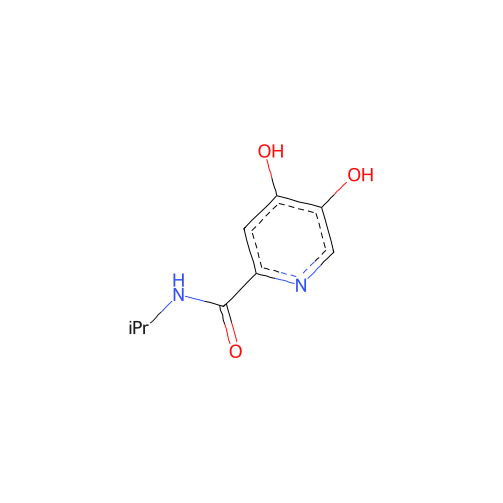 CC(C)NC(=O)c1cc(O)c(O)cn1